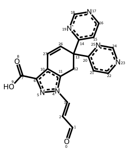 O=CC=Cn1nc(C(=O)O)c2c1CC(c1ccncn1)(c1ccncn1)C=C2